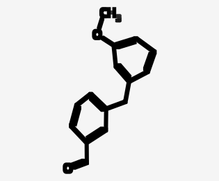 COc1cccc(Cc2cccc(C=O)c2)c1